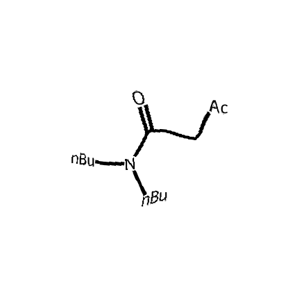 CCCCN(CCCC)C(=O)CC(C)=O